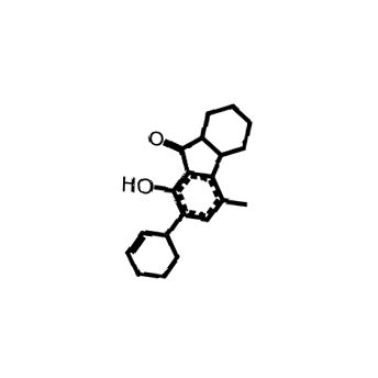 Cc1cc(C2C=CCCC2)c(O)c2c1C1CCCCC1C2=O